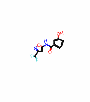 O=C(Nc1cc(C(F)F)no1)c1cccc(O)c1